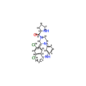 C[C@@H](Nc1cccc(N2CCN(C(=O)[C@H]3CCCN3)CC2)c1)c1ccc(Cl)cc1Cl